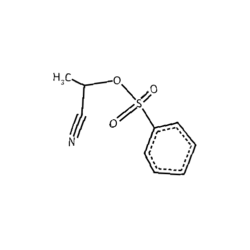 CC(C#N)OS(=O)(=O)c1ccccc1